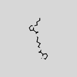 CCCCN1CCCC1C(=O)OCCCCOC(=O)C1CCCN1C